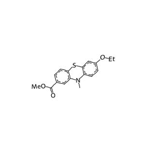 CCOc1ccc2c(c1)Sc1ccc(C(=O)OC)cc1N2C